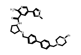 CC(C)N1CCN(Cc2ccc(-c3ccc(CO[C@H]4CCC[C@@H]4NC(=O)c4cc(-c5cnn(C)c5)cnc4N)cc3)cc2)CC1